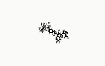 COCC(c1ccc2oc(C(NC(=O)c3cnoc3C(C)C)C3CCC(F)(F)CC3)nc2c1)N1CC(C(F)(F)F)NC1=O